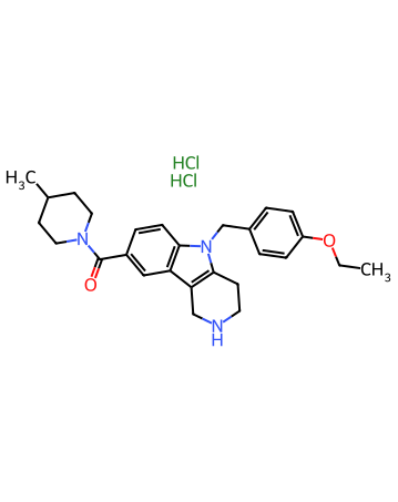 CCOc1ccc(Cn2c3c(c4cc(C(=O)N5CCC(C)CC5)ccc42)CNCC3)cc1.Cl.Cl